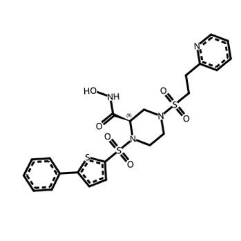 O=C(NO)[C@H]1CN(S(=O)(=O)CCc2ccccn2)CCN1S(=O)(=O)c1ccc(-c2ccccc2)s1